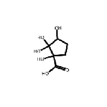 O=C(O)C1(O)CCC(O)C1(O)O